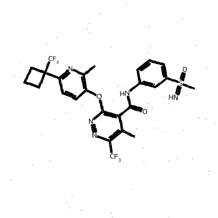 Cc1nc(C2(C(F)(F)F)CCC2)ccc1Oc1nnc(C(F)(F)F)c(C)c1C(=O)Nc1cccc(S(C)(=N)=O)c1